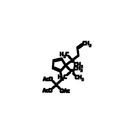 C=CC[Si](C)(C)[C]1([Pt]([CH3])([CH3])[CH3])C=CC=C1C[Si](OC(C)=O)(OC(C)=O)OC(C)=O